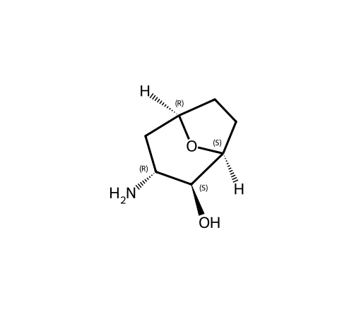 N[C@@H]1C[C@H]2CC[C@H](O2)[C@H]1O